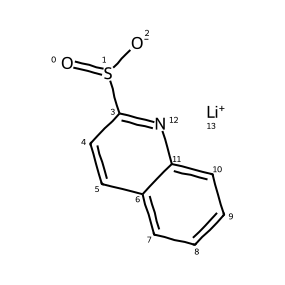 O=S([O-])c1ccc2ccccc2n1.[Li+]